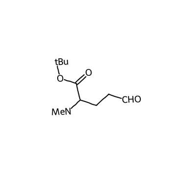 CNC(CCC=O)C(=O)OC(C)(C)C